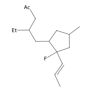 C/C=C/C1(F)CC(C)CC1CC(CC)CC(C)=O